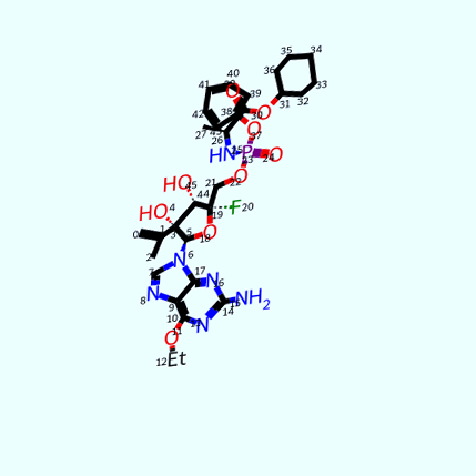 C=C(C)[C@]1(O)[C@H](n2cnc3c(OCC)nc(N)nc32)O[C@](F)(CO[P@](=O)(N[C@@H](C)C(=O)OC2CCCCC2)Oc2ccccc2)[C@H]1O